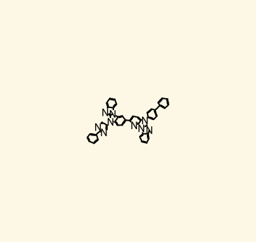 c1ccc(-c2ccc(-n3c4ccc(-c5ccc6c(c5)n5c7ccccc7nc5n6-c5cnc(-c6ccccc6)nc5)nc4n4c5ccccc5nc34)cc2)cc1